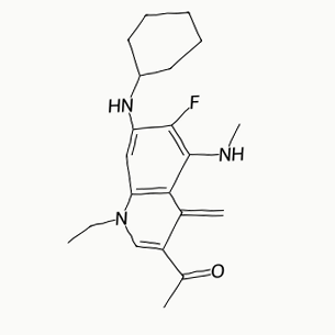 C=C1C(C(C)=O)=CN(CC)c2cc(NC3CCCCC3)c(F)c(NC)c21